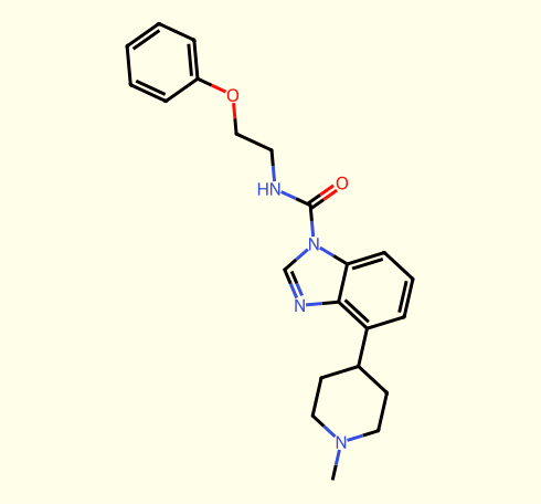 CN1CCC(c2cccc3c2ncn3C(=O)NCCOc2ccccc2)CC1